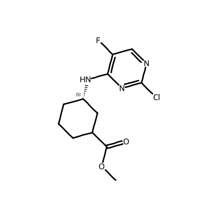 COC(=O)C1CCC[C@H](Nc2nc(Cl)ncc2F)C1